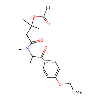 CCC(=O)OC(C)(C)CC(=O)N(C)C(C)C(=O)c1ccc(OCOC)cc1